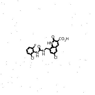 O=C(NCc1cc(Cl)cc2cc(C(=O)O)c(=O)[nH]c12)Nc1c(F)cccc1Cl